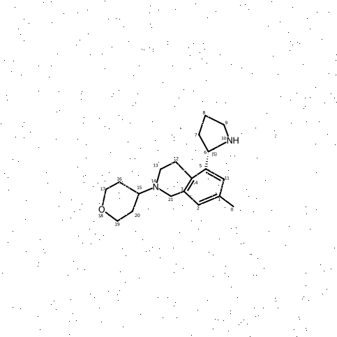 Cc1cc2c(c([C@@H]3CCCN3)c1)CCN(C1CCOCC1)C2